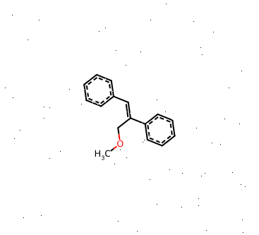 COCC(=Cc1ccccc1)c1ccccc1